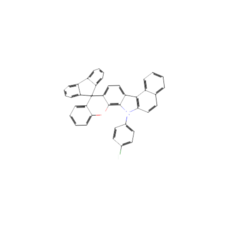 Fc1ccc(-n2c3ccc4ccccc4c3c3ccc4c(c32)Oc2ccccc2C42c3ccccc3-c3ccccc32)cc1